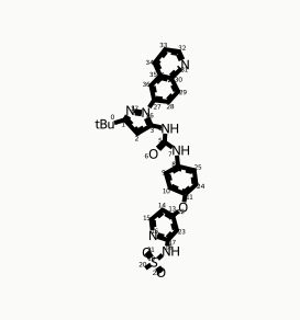 CC(C)(C)c1cc(NC(=O)Nc2ccc(Oc3ccnc(NS(C)(=O)=O)c3)cc2)n(-c2ccc3ncccc3c2)n1